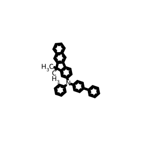 CC1(C)c2cc(N(c3ccccc3)c3ccc(-c4ccccc4)cc3)ccc2-c2cc3ccccc3cc21